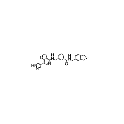 CN1Cc2ccc(CNC(=O)c3cccc(CNc4ncc(-c5cn[nH]c5)c5c4CCO5)c3)cc2C1